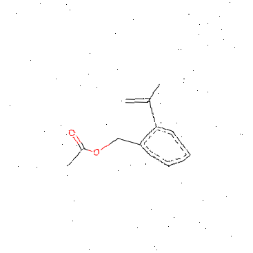 C=C(C)c1ccccc1COC(C)=O